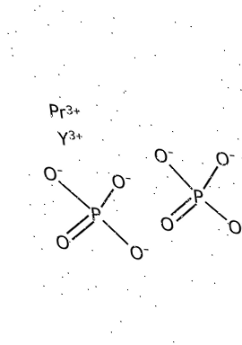 O=P([O-])([O-])[O-].O=P([O-])([O-])[O-].[Pr+3].[Y+3]